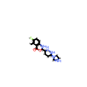 Cc1c(F)ccc2c1C(=O)OC(C1CCC(N3CCNC3)NN1)N2